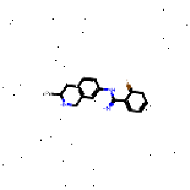 CCCC1Cc2ccc(NC(=N)C3=CC=CCC3=S)cc2CN1